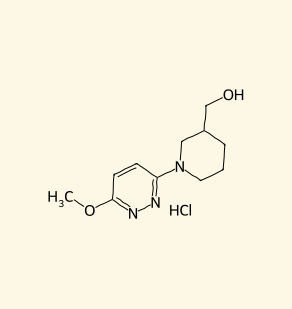 COc1ccc(N2CCCC(CO)C2)nn1.Cl